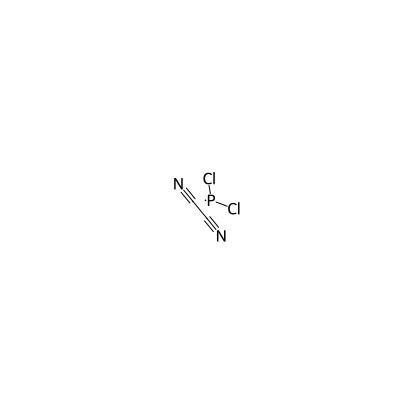 Cl[P]Cl.N#CC#N